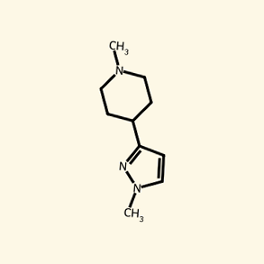 CN1CCC(c2ccn(C)n2)CC1